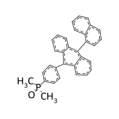 CP(C)(=O)c1ccc(-c2c3ccccc3c(-c3cccc4ccccc34)c3ccccc23)cc1